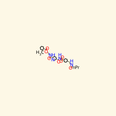 CCCC(=O)NCCc1ccc(S(=O)(=O)NC(=O)c2ccc(C(=O)NCCOC(=O)c3ccccc3C)nc2)cc1